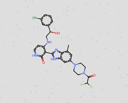 Cc1cc(N2CCN(C(=O)C(F)F)CC2)cc2[nH]c(-c3c(NCC(O)c4cccc(Cl)c4)cc[nH]c3=O)nc12